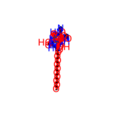 CC[C@H](C)[C@H](NC(=O)C(C)(C)N(C)C)C(=O)N(C)[C@H](C[C@@H](OC(C)=O)c1nc(C(=O)N[C@H](CCC(=O)O)Cc2ccc(O)c(NC(=O)[C@H](C)NC(=O)[C@@H](NC(=O)[C@H](CCCCNC(=O)COCCOCCOCCOCCOCCOCCOCCOCCOCCOC)NC(=O)CCCN3C(=O)C=CC3=O)C(C)C)c2)cs1)C(C)C